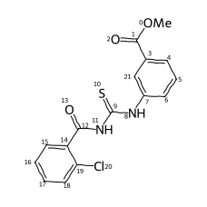 COC(=O)c1cccc(NC(=S)NC(=O)c2ccccc2Cl)c1